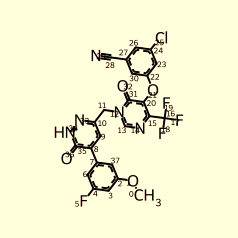 COc1cc(F)cc(-c2cc(Cn3cnc(C(F)(F)F)c(Oc4cc(Cl)cc(C#N)c4)c3=O)n[nH]c2=O)c1